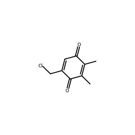 CC1=C(C)C(=O)C(CCl)=CC1=O